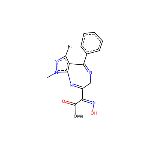 CCc1nn(C)c2c1C(c1ccccc1)=NCC(C(=NO)C(=O)OC)=N2